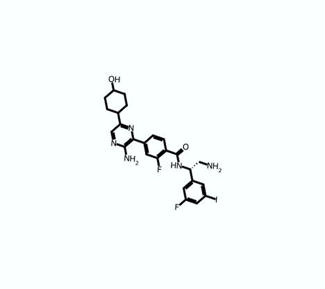 NC[C@@H](NC(=O)c1ccc(-c2nc(C3CCC(O)CC3)cnc2N)cc1F)c1cc(F)cc(I)c1